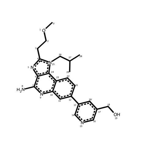 COCCc1nc2c(N)nc3cc(-c4cncc(CO)c4)ccc3c2n1CC(C)C